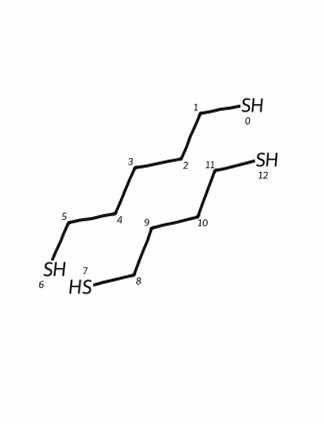 SCCCCCS.SCCCCS